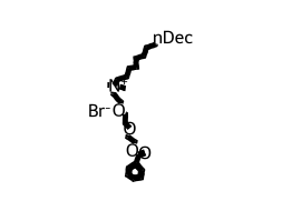 CCCCCCCCCCCCCCCCCC[N+](C)(C)CCOCCOCCOC(=O)c1ccccc1.[Br-]